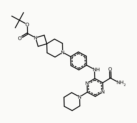 CC(C)(C)OC(=O)N1CC2(CCN(c3ccc(Nc4nc(N5CCCCC5)cnc4C(N)=O)cc3)CC2)C1